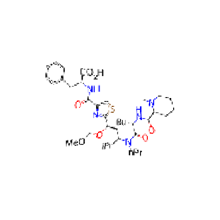 CCCN(C(=O)C(NC(=O)C1CCCCN1C)[C@@H](C)CC)[C@H](C[C@@H](OCOC)c1nc(C(=O)N[C@@H](Cc2ccccc2)C(=O)O)cs1)C(C)C